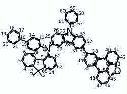 CC1(C)c2ccccc2-c2c(N(c3ccc(-c4ccccc4)cc3)c3ccc4c(c3)c3cc(-c5ccc6c(c5)c5cccc7oc8cccc6c8c75)ccc3n4-c3ccccc3)cccc21